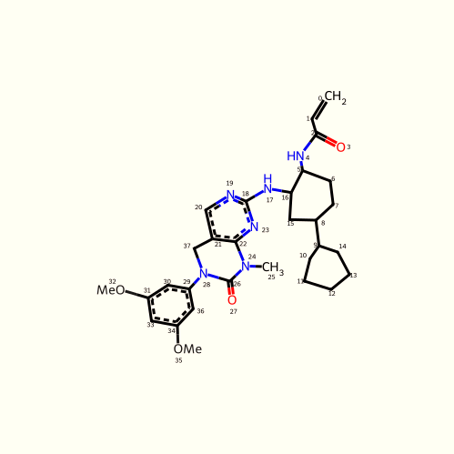 C=CC(=O)NC1CCC(C2CCCCC2)CC1Nc1ncc2c(n1)N(C)C(=O)N(c1cc(OC)cc(OC)c1)C2